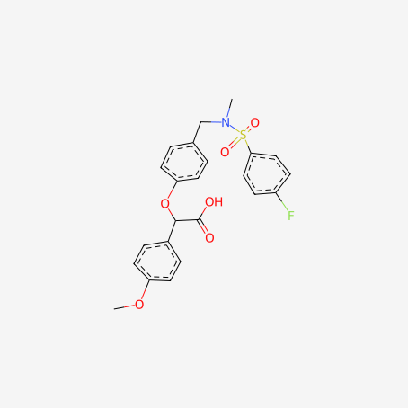 COc1ccc(C(Oc2ccc(CN(C)S(=O)(=O)c3ccc(F)cc3)cc2)C(=O)O)cc1